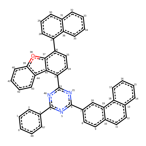 c1ccc(-c2nc(-c3ccc4ccc5ccccc5c4c3)nc(-c3ccc(-c4cccc5ccccc45)c4oc5ccccc5c34)n2)cc1